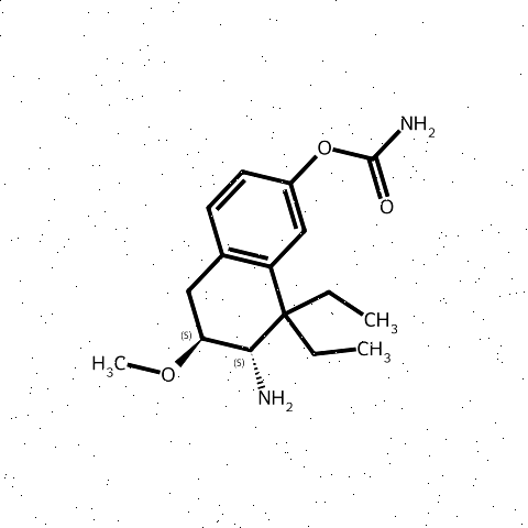 CCC1(CC)c2cc(OC(N)=O)ccc2C[C@H](OC)[C@H]1N